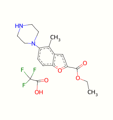 CCOC(=O)c1cc2c(C)c(N3CCNCC3)ccc2o1.O=C(O)C(F)(F)F